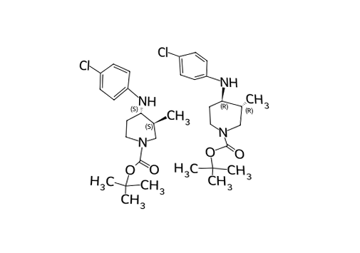 C[C@@H]1CN(C(=O)OC(C)(C)C)CC[C@H]1Nc1ccc(Cl)cc1.C[C@H]1CN(C(=O)OC(C)(C)C)CC[C@@H]1Nc1ccc(Cl)cc1